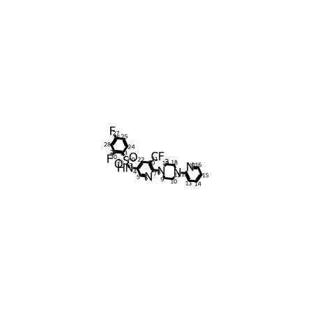 O=S(=O)(Nc1cnc(N2CCN(c3ccccn3)CC2)c(C(F)(F)F)c1)c1ccc(F)cc1F